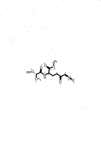 CO[C@@H](C)C(=O)NC(CCC(=O)C=[N+]=[N-])C(=O)OC(C)C